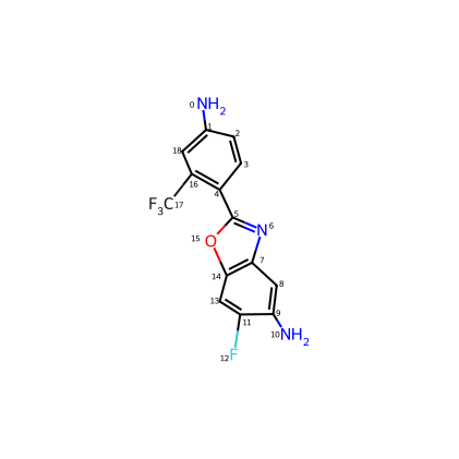 Nc1ccc(-c2nc3cc(N)c(F)cc3o2)c(C(F)(F)F)c1